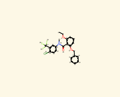 CCOc1cccc(OCc2ccccc2)c1C(=O)N(C)c1ccc(Cl)c(C(F)(F)F)c1